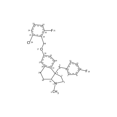 CN1CCC2(Sc3ccc(F)cc3)c3ccc(OCc4c(F)cccc4Cl)cc3CCC12